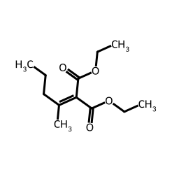 CCCC(C)=C(C(=O)OCC)C(=O)OCC